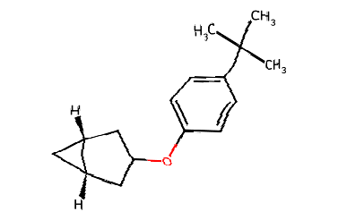 CC(C)(C)c1ccc(OC2C[C@@H]3C[C@@H]3C2)cc1